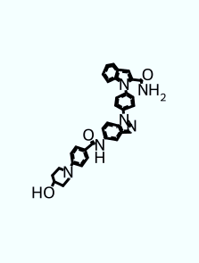 NC(=O)c1cc2ccccc2n1-c1ccc(-n2ncc3cc(NC(=O)c4ccc(N5CCC(O)CC5)cc4)ccc32)cc1